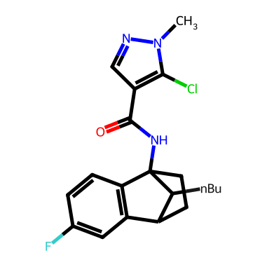 CCCCC1C2CCC1(NC(=O)c1cnn(C)c1Cl)c1ccc(F)cc12